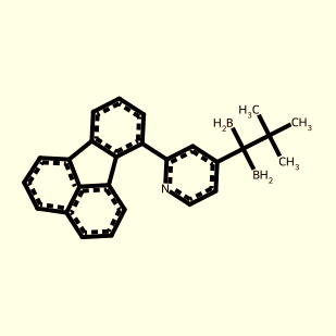 BC(B)(c1ccnc(-c2cccc3c2-c2cccc4cccc-3c24)c1)C(C)(C)C